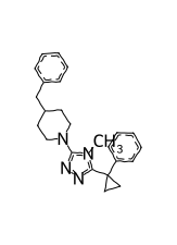 Cn1c(N2CCC(Cc3ccccc3)CC2)nnc1C1(c2ccccc2)CC1